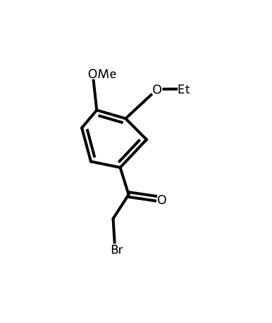 CCOc1cc(C(=O)CBr)ccc1OC